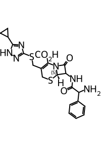 NC(C(=O)NC1C(=O)N2C(C(=O)O)=C(CSc3n[nH]c(C4CC4)n3)CS[C@@H]12)c1ccccc1